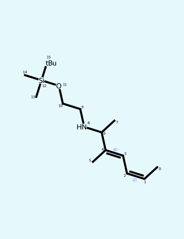 C/C=C\C=C(/C)C(C)NCCO[Si](C)(C)C(C)(C)C